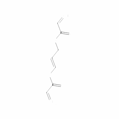 C=CC(=O)OC=CCOC(=O)C=C